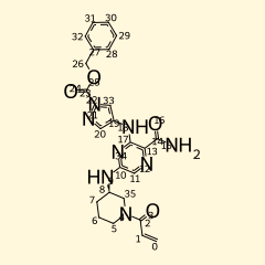 C=CC(=O)N1CCC[C@@H](Nc2cnc(C(N)=O)c(Nc3cnn(C(=O)OCc4ccccc4)c3)n2)C1